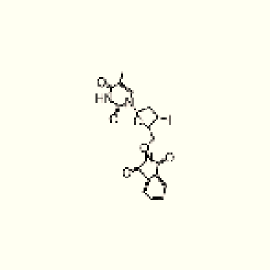 Cc1cn([C@H]2CC(I)[C@@H](CON3C(=O)c4ccccc4C3=O)O2)c(=O)[nH]c1=O